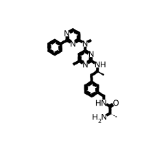 Cc1cc(N(C)c2ccnc(-c3ccccc3)n2)nc(N[C@@H](C)Cc2cccc(CNC(=O)[C@H](C)N)c2)n1